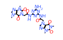 Cn1c(=O)c2c(ncn2CC(=O)Nc2nc(N)nc(NC(=O)Cn3c(=O)c4c(ncn4C)n(C)c3=O)n2)n(C)c1=O